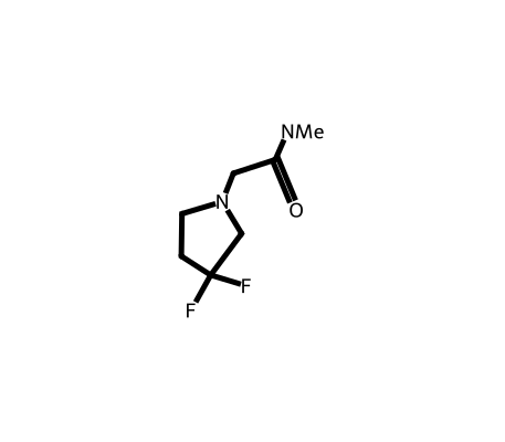 CNC(=O)CN1CCC(F)(F)C1